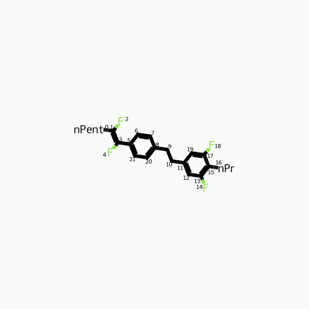 CCCCCC(F)=C(F)c1ccc(CCc2cc(F)c(CCC)c(F)c2)cc1